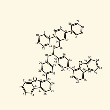 c1ccc(-c2ccc(-c3ccccc3)c(CCC(Cc3ccc(-c4cccc5c4oc4ccccc45)cc3)c3ccc(-c4cccc5c4oc4ccccc45)cc3)c2)cc1